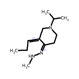 CC/C=C1/CN(C(C)C)CC/C1=N/NC